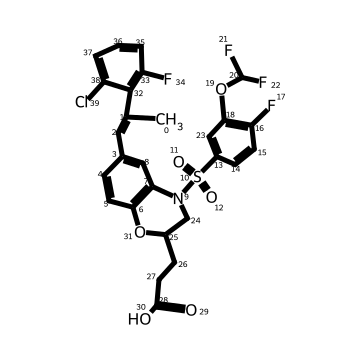 CC(=Cc1ccc2c(c1)N(S(=O)(=O)c1ccc(F)c(OC(F)F)c1)CC(CCC(=O)O)O2)c1c(F)cccc1Cl